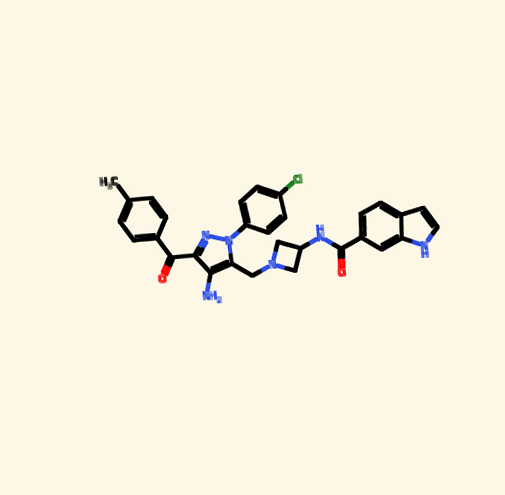 Cc1ccc(C(=O)c2nn(-c3ccc(Cl)cc3)c(CN3CC(NC(=O)c4ccc5cc[nH]c5c4)C3)c2N)cc1